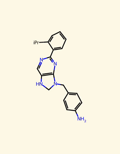 CC(C)c1ccccc1-c1ncc2c(n1)N(Cc1ccc(N)cc1)CN2